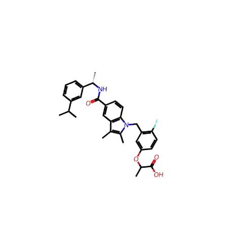 Cc1c(C)n(Cc2cc(OC(C)C(=O)O)ccc2F)c2ccc(C(=O)N[C@@H](C)c3cccc(C(C)C)c3)cc12